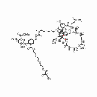 CC[C@H](C)[C@@H]1NC(=O)CNC(=O)[C@@H]2Cc3c([nH]c4cc(OCCCCCCN(C)C(=O)OCc5ccc(O[C@@H]6O[C@H](C(=O)OC)[C@@H](OC(C)=O)C[C@H]6OC(C)=O)c(C(=O)NCCOCCOCCONC(=O)OC(C)(C)C)c5)ccc34)[S+]([O-])C[C@H](NC(=O)CNC1=O)C(=O)N[C@@H](CCC(N)=O)C(=O)N1C[C@H](O)C[C@H]1C(=O)N[C@@H]([C@@H](C)[C@@H](O)CO)C(=O)N2